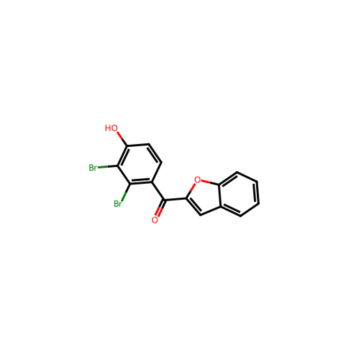 O=C(c1cc2ccccc2o1)c1ccc(O)c(Br)c1Br